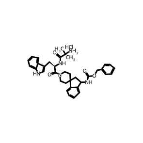 CC(C)(N)C(=O)N[C@H](Cc1c[nH]c2ccccc12)C(=O)N1CCC2(CC1)CC(NC(=O)OCc1ccccc1)c1ccccc12.Cl